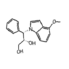 COc1cccc2c1ccn2[C@@H](c1ccccc1)[C@H](O)CO